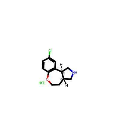 Cl.Clc1ccc2c(c1)[C@H]1CNC[C@@H]1CCO2